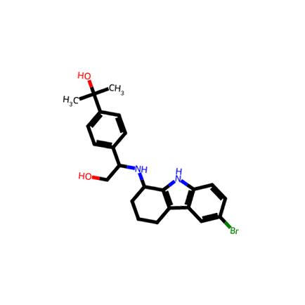 CC(C)(O)c1ccc(C(CO)NC2CCCc3c2[nH]c2ccc(Br)cc32)cc1